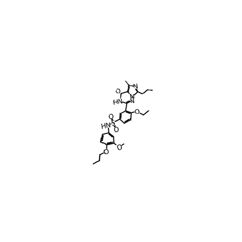 CCCOc1ccc(NS(=O)(=O)c2ccc(OCC)c(-c3nn4c(CCC)nc(C)c4c(=O)[nH]3)c2)cc1OC